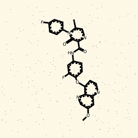 COc1cnc2c(Oc3ccc(NC(=O)c4ncc(C)n(-c5ccc(F)cc5)c4=O)cc3F)ccnc2c1